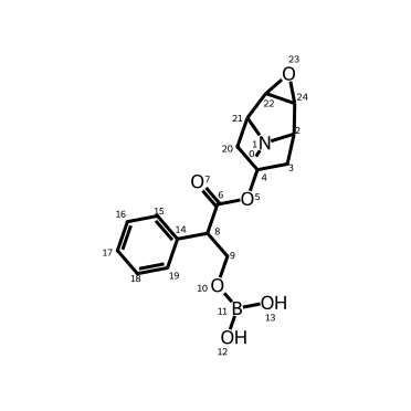 CN1C2CC(OC(=O)C(COB(O)O)c3ccccc3)CC1C1OC12